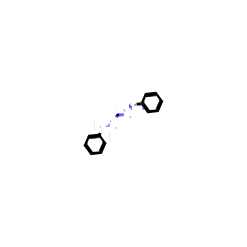 O=C(N[Te]c1ccccc1)N[Te]c1ccccc1